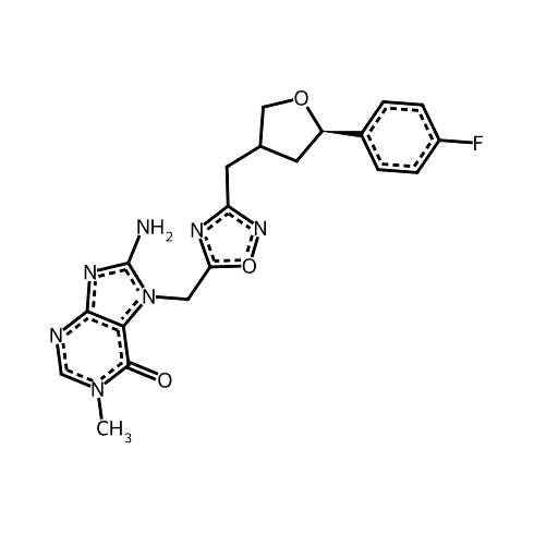 Cn1cnc2nc(N)n(Cc3nc(CC4CO[C@@H](c5ccc(F)cc5)C4)no3)c2c1=O